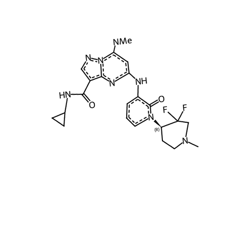 CNc1cc(Nc2cccn([C@@H]3CCN(C)CC3(F)F)c2=O)nc2c(C(=O)NC3CC3)cnn12